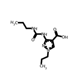 CCCNC(=O)Nc1nn(CCC)cc1C(=O)O